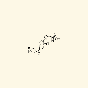 O=C(O)NCc1ccc(-c2ccc3cc(C(=O)N4CCC(F)(F)CC4)ccc3c2Cl)o1